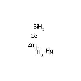 [BiH3].[Ce].[Hg].[InH3].[Zn]